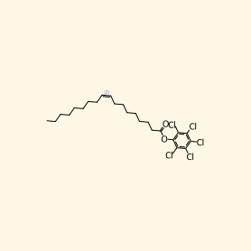 CCCCCCCC/C=C\CCCCCCCC(=O)Oc1c(Cl)c(Cl)c(Cl)c(Cl)c1Cl